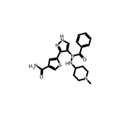 CN1CCC(NN(C(=O)c2ccccc2)c2c[nH]nc2-c2cc(C(N)=O)cs2)CC1